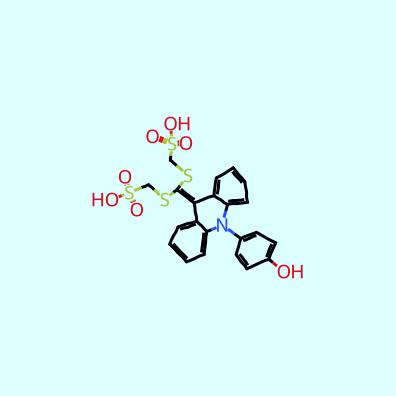 O=S(=O)(O)CSC(SCS(=O)(=O)O)=C1c2ccccc2N(c2ccc(O)cc2)c2ccccc21